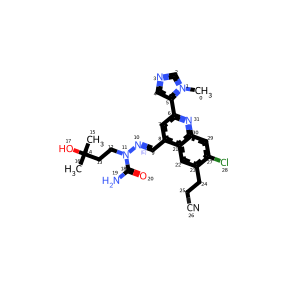 Cn1cncc1-c1cc(/C=N/N(CCC(C)(C)O)C(N)=O)c2cc(CCC#N)c(Cl)cc2n1